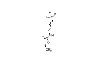 CCOC(=O)NCCOCC(F)(F)F